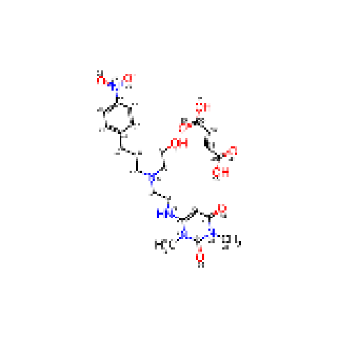 Cn1c(NCCN(CCO)CCCc2ccc([N+](=O)[O-])cc2)cc(=O)n(C)c1=O.O=C(O)/C=C/C(=O)O